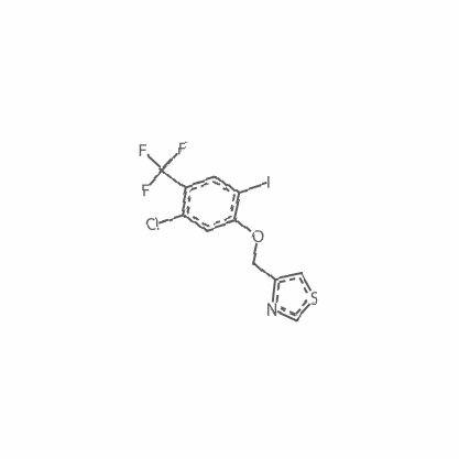 FC(F)(F)c1cc(I)c(OCc2cscn2)cc1Cl